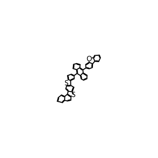 c1ccc2c(c1)ccc1sc3cc4c(cc3c12)sc1ccc(-c2c3ccccc3c(-c3ccc5c(c3)oc3ccccc35)c3ccccc23)cc14